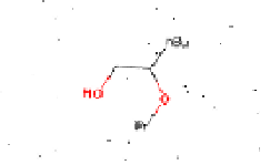 CCCCC(CO)OC(C)C